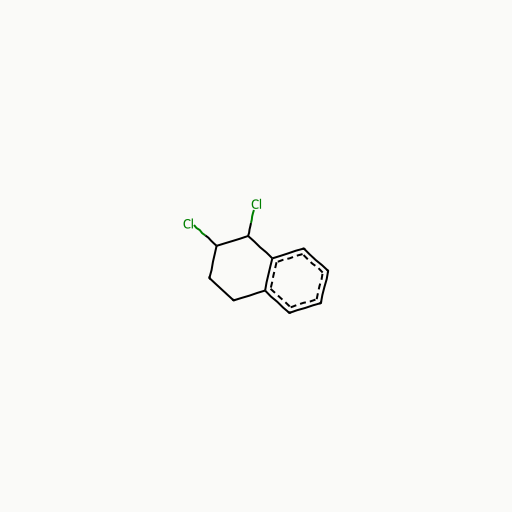 ClC1CCc2ccccc2C1Cl